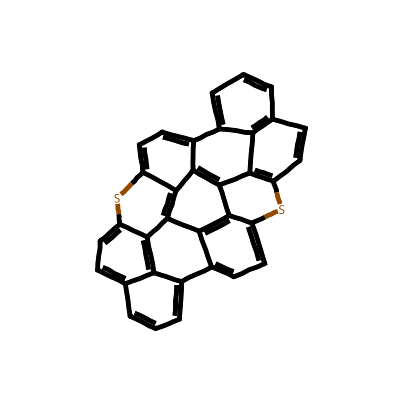 c1cc2ccc3sc4ccc5c6cccc7ccc8sc9ccc%10c(c1)c2c3c1c4c5c(c8c76)c9c%101